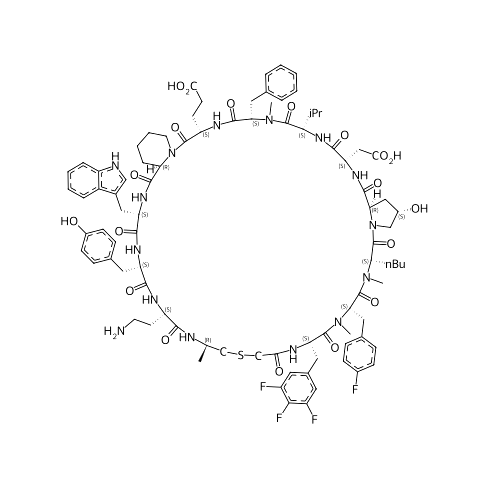 CCCC[C@H]1C(=O)N2C[C@@H](O)C[C@@H]2C(=O)N[C@@H](CC(=O)O)C(=O)N[C@@H](C(C)C)C(=O)N(C)[C@@H](Cc2ccccc2)C(=O)N[C@@H](CCC(=O)O)C(=O)N2CCCC[C@@H]2C(=O)N[C@@H](Cc2c[nH]c3ccccc23)C(=O)N[C@@H](Cc2ccc(O)cc2)C(=O)N[C@@H](CCN)C(=O)N[C@H](C)CSCC(=O)N[C@@H](Cc2cc(F)c(F)c(F)c2)C(=O)N(C)[C@@H](Cc2ccc(F)cc2)C(=O)N1C